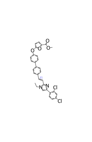 CCn1cc(-c2ccc(Cl)cc2Cl)nc1/C=C/c1ccc(-c2ccc(Oc3ccc(C(=O)OC)o3)cc2)cc1